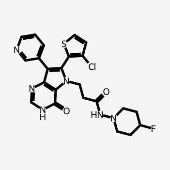 O=C(CCn1c(-c2sccc2Cl)c(-c2cccnc2)c2nc[nH]c(=O)c21)NN1CCC(F)CC1